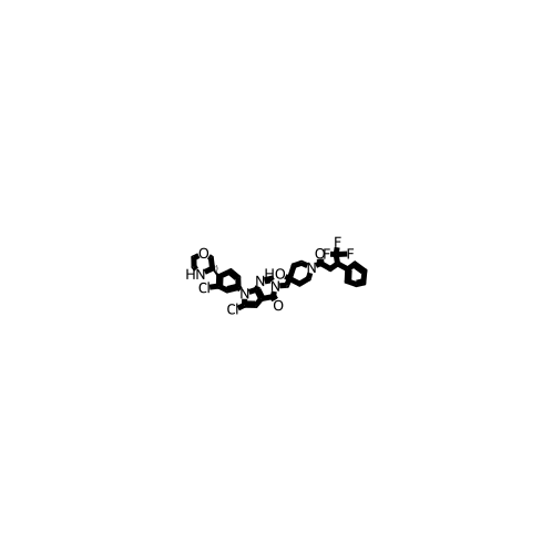 O=C(CC(c1ccccc1)C(F)(F)F)N1CCC(O)(Cn2cnc3c(cc(Cl)n3-c3ccc([C@@H]4COCCN4)c(Cl)c3)c2=O)CC1